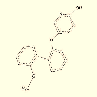 COc1ccccc1-c1cccnc1Oc1ccc(O)nc1